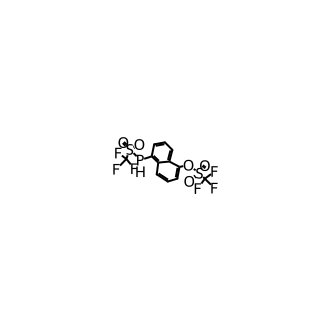 O=S(=O)(Oc1cccc2c(PS(=O)(=O)C(F)(F)F)cccc12)C(F)(F)F